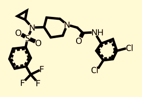 O=C(CN1CCC(N(C2CC2)S(=O)(=O)c2cccc(C(F)(F)F)c2)CC1)Nc1cc(Cl)cc(Cl)c1